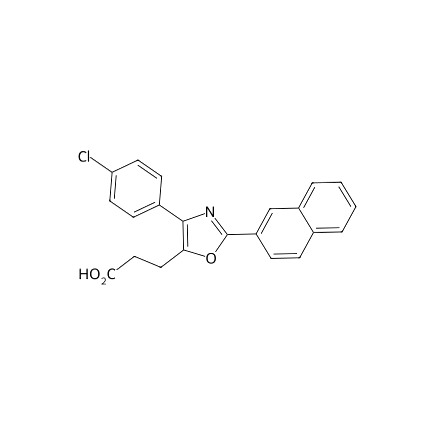 O=C(O)CCc1oc(-c2ccc3ccccc3c2)nc1-c1ccc(Cl)cc1